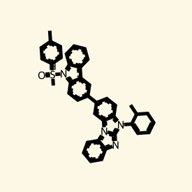 Cc1ccc([SH](C)(=O)n2c3ccccc3c3cc(-c4ccc5c(c4)n4c6ccccc6nc4n5C4=CC=CCC4C)ccc32)cc1